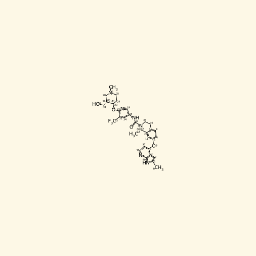 Cc1cc2c(Oc3ccc4c(c3)[C@H](C)N(C(=O)Nc3cnc(O[C@@H]5CCN(C)C[C@H]5CO)c(C(F)(F)F)c3)CC4)ccnc2[nH]1